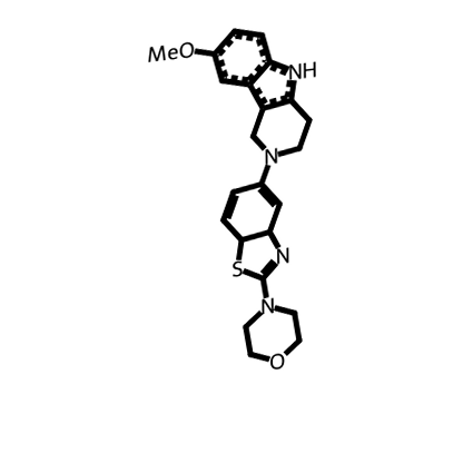 COc1ccc2[nH]c3c(c2c1)CN(C1=CC2N=C(N4CCOCC4)SC2C=C1)CC3